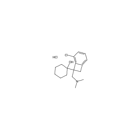 CN(C)CC1(C2(O)CCCCC2)Cc2cccc(Cl)c21.Cl